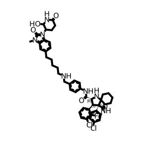 Cn1c(=O)n(C2CCC(=O)NC2O)c2ccc(CCCCCNCc3ccc(NC(=O)[C@@H]4NC5(CCCCC5)[C@@]5(C(=O)Nc6cc(Cl)ccc65)[C@H]4c4cccc(Cl)c4F)cc3)cc21